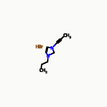 Br.CC#CN1C=CN(CCC)C1